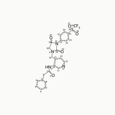 O=C(Cc1ccccc1)Nc1cnccc1CN1CC(=O)N(c2ccc(S(=O)(=O)C(F)(F)F)cc2)C1=O